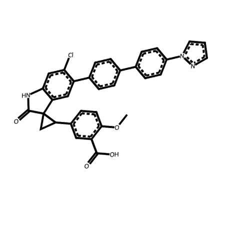 COc1ccc(C2CC23C(=O)Nc2cc(Cl)c(-c4ccc(-c5ccc(-n6cccn6)cc5)cc4)cc23)cc1C(=O)O